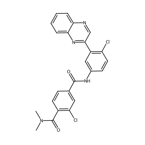 CN(C)C(=O)c1ccc(C(=O)Nc2ccc(Cl)c(-c3cnc4ccccc4n3)c2)cc1Cl